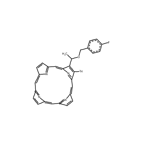 [2H]C1=C(C(C)OCc2ccc(F)cc2)C2=CC3=NC(=CC4=NC(=CC5=NC(=CC1=N2)C=C5)C=C4)C=C3